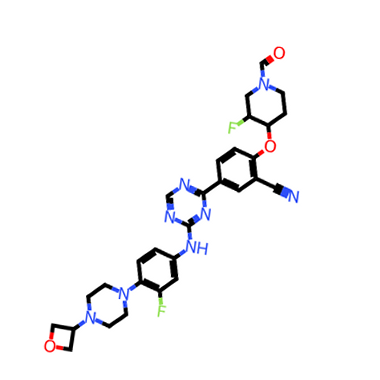 N#Cc1cc(-c2ncnc(Nc3ccc(N4CCN(C5COC5)CC4)c(F)c3)n2)ccc1OC1CCN(C=O)CC1F